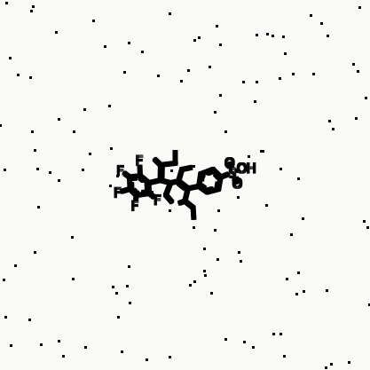 CC/C(C)=C(/c1c(F)c(F)c(F)c(F)c1F)C(CC)/C(CC)=C(/c1ccc(S(=O)(=O)O)cc1)C(C)CC